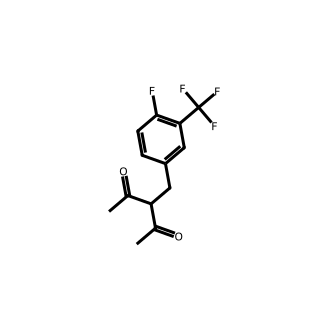 CC(=O)C(Cc1ccc(F)c(C(F)(F)F)c1)C(C)=O